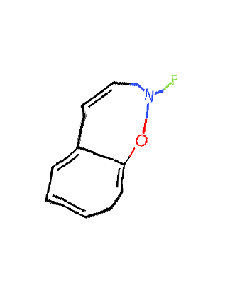 FN1C=Cc2ccccc2O1